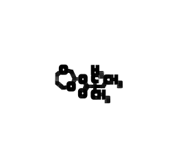 CCC(C)(C)C(=O)OC1COCCCO1